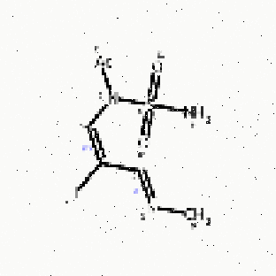 C/N=C/C(I)=C\N(C(C)=O)S(N)(=O)=O